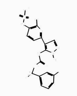 Cc1nc(-c2cnn(C)c2NC(=O)O[C@H](C)c2cccc(F)c2)ccc1NS(C)(=O)=O